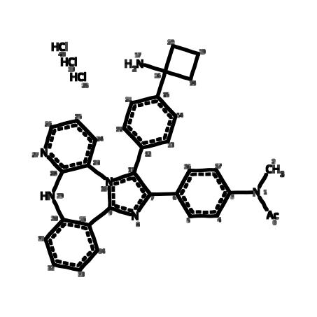 CC(=O)N(C)c1ccc(-c2nc3n(c2-c2ccc(C4(N)CCC4)cc2)-c2cccnc2Nc2ccccc2-3)cc1.Cl.Cl.Cl